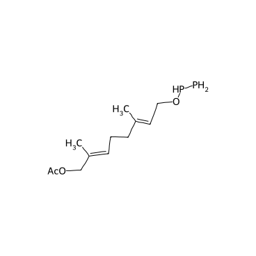 CC(=O)OC/C(C)=C/CC/C(C)=C/COPP